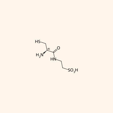 N[C@@H](CS)C(=O)NCCS(=O)(=O)O